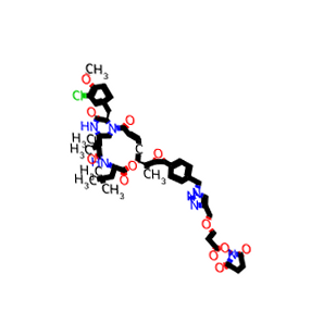 COc1ccc(C[C@@H]2C(=O)N[C@H]3CN2C(=O)/C=C/C[C@@H](C(C)C2OC2c2ccc(Cn4cc(COCCC(=O)ON5C(=O)CCC5=O)nn4)cc2)OC(=O)C(CC(C)(C)C)NC(=O)C3(C)C)cc1Cl